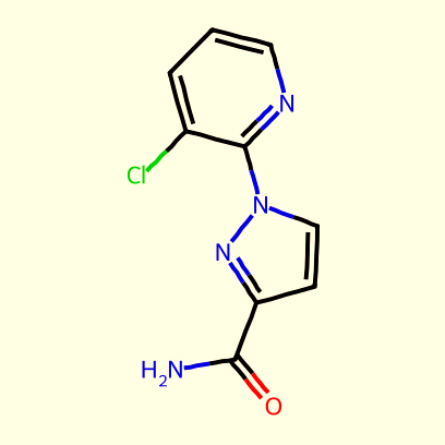 NC(=O)c1ccn(-c2ncccc2Cl)n1